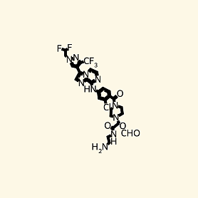 NCCNC(=O)C(OC=O)N1CCN(C(=O)c2ccc(Nc3nccn4c(-c5cn(CC(F)F)nc5C(F)(F)F)cnc34)cc2Cl)CC1